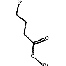 CCC(C)OC(=O)CCC[S]